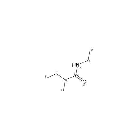 C[CH]NC(=O)C(C)CC